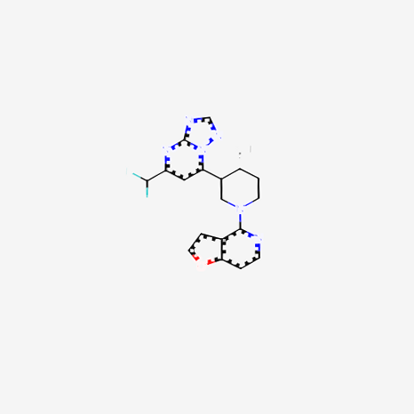 C[C@@H]1CCN(c2nccc3occc23)CC1c1cc(C(F)F)nc2ncnn12